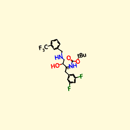 CC(C)(C)OC(=O)N[C@@H](Cc1cc(F)cc(F)c1)C(O)CNCc1cccc(C(F)(F)F)c1